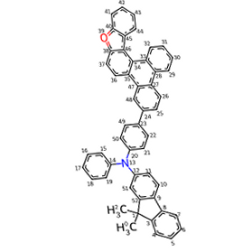 CC1(C)c2ccccc2-c2ccc(N(c3ccccc3)c3ccc(-c4ccc5c6ccccc6c6c(ccc7oc8ccccc8c76)c5c4)cc3)cc21